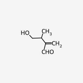 C=C(C=O)C(C)CO